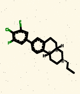 CCC[C@@H]1CC[C@@H]2c3ccc(-c4cc(F)c(Cl)c(F)c4)cc3CC[C@@H]2C1